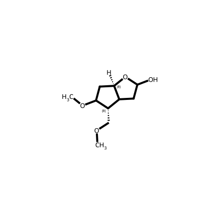 COC[C@@H]1C(OC)C[C@H]2OC(O)CC12